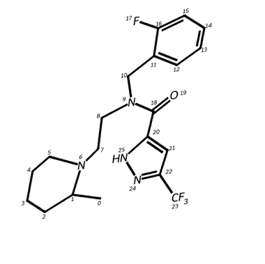 CC1CCCCN1CCN(Cc1ccccc1F)C(=O)c1cc(C(F)(F)F)n[nH]1